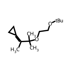 CC(=C1CC1)C(C)(C)OCCOC(C)(C)C